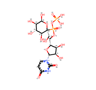 O=c1ccn([C@@H]2O[C@H](COP(=O)(OP(=O)(O)O)[C@]3(CO)O[C@H](O)[C@H](O)[C@@H](O)[C@@H]3O)[C@@H](O)[C@H]2O)c(=O)[nH]1